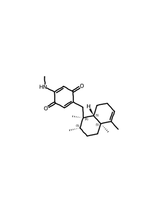 CNC1=CC(=O)C(C[C@]2(C)[C@@H](C)CC[C@]3(C)C(C)=CCC[C@@H]23)=CC1=O